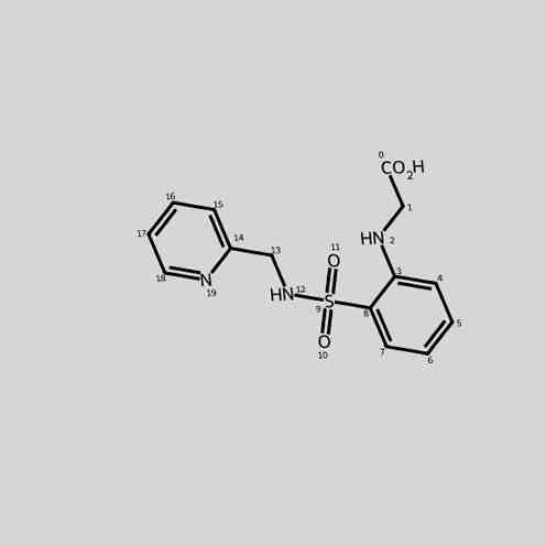 O=C(O)CNc1ccccc1S(=O)(=O)NCc1ccccn1